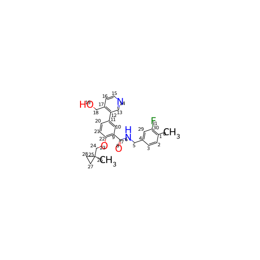 Cc1ccc(CNC(=O)c2cc(-c3cnccc3CO)ccc2OCC2(C)CC2)cc1F